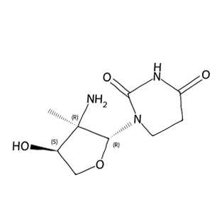 C[C@@]1(N)[C@H](O)CO[C@H]1N1CCC(=O)NC1=O